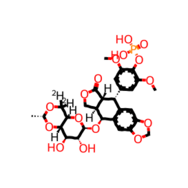 [2H]C1([2H])O[C@@H](C)O[C@H]2[C@H](O)[C@@H](O)[C@H](O[C@@H]3c4cc5c(cc4[C@@H](c4cc(OC)c(OP(=O)(O)O)c(OC)c4)[C@H]4C(=O)OC[C@@H]43)OCO5)O[C@@H]21